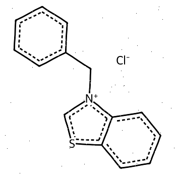 [Cl-].c1ccc(C[n+]2csc3ccccc32)cc1